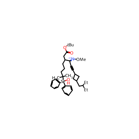 CCC(CC)CC1CC(C#C/C(=N\OC)C(CCCC(C)(C)[Si](O)(c2ccccc2)c2ccccc2)CC(=O)OC(C)(C)C)C1